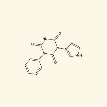 O=c1[nH]c(=O)n(-[n+]2cc[nH]c2)c(=O)n1-c1ccccc1